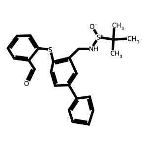 CC(C)(C)[S+]([O-])NCc1cc(-c2ccccc2)ccc1Sc1ccccc1C=O